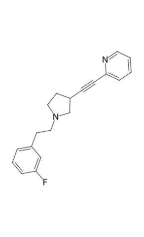 Fc1cccc(CCN2CCC(C#Cc3ccccn3)C2)c1